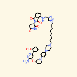 Nc1nnc(-c2ccccc2O)cc1O[C@@H]1CCCN(c2ccc(N3CCN(CCCCCCCCCn4cc(CNc5cccc6c5C(=O)N(C5CCC(=O)NC5=O)C6=O)nn4)CC3)cc2)C1